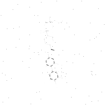 CCCC1(C)COC(O)(C2CCC(C(=O)Oc3ccc(-c4cc(F)c(F)c(F)c4)c(F)c3)CC2)OC1